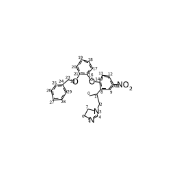 CC(CN1C=NCC1)c1cc([N+](=O)[O-])ccc1Oc1ccccc1OCc1ccccc1